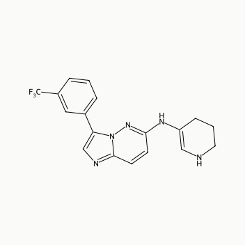 FC(F)(F)c1cccc(-c2cnc3ccc(NC4=CNCCC4)nn23)c1